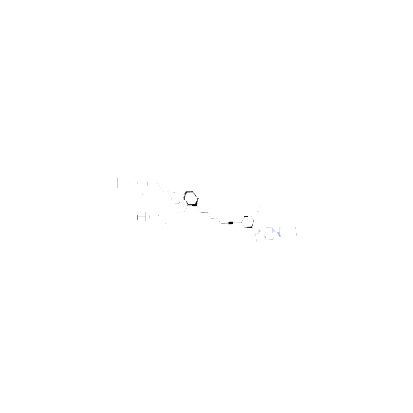 CN1CCN(C(=O)c2cc(Br)cc(C#CCCCCCc3cccc(OCCCC(=O)O)c3CCC(=O)O)c2)CC1